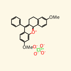 COc1ccc2c(c1)CCc1c-2[o+]c2cc(OC)ccc2c1-c1ccccc1.[O-][Cl+3]([O-])([O-])[O-]